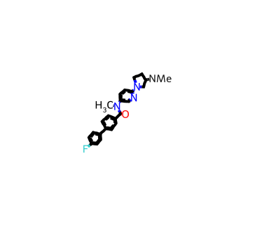 CNC1CCN(c2ccc(N(C)C(=O)c3ccc(-c4ccc(F)cc4)cc3)cn2)C1